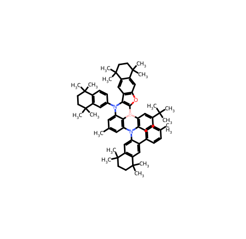 Cc1ccc(-c2cc3c(cc2N2c4ccc(C(C)(C)C)cc4B4c5oc6cc7c(cc6c5N(c5ccc6c(c5)C(C)(C)CCC6(C)C)c5cc(C)cc2c54)C(C)(C)CCC7(C)C)C(C)(C)CCC3(C)C)cc1